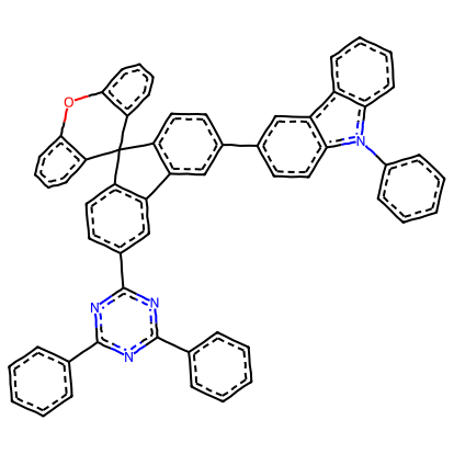 c1ccc(-c2nc(-c3ccccc3)nc(-c3ccc4c(c3)-c3cc(-c5ccc6c(c5)c5ccccc5n6-c5ccccc5)ccc3C43c4ccccc4Oc4ccccc43)n2)cc1